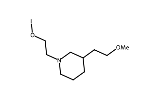 COCCC1CCCN(CCOI)C1